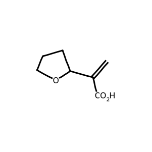 C=C(C(=O)O)C1CCCO1